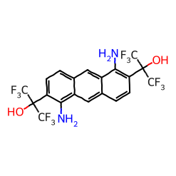 Nc1c(C(O)(C(F)(F)F)C(F)(F)F)ccc2cc3c(N)c(C(O)(C(F)(F)F)C(F)(F)F)ccc3cc12